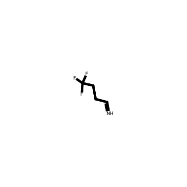 N=CCCC(F)(F)F